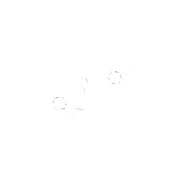 O=C(COc1cccc(C(F)(F)F)c1)N1CCC2(CC1)C(=O)Nc1ccccc12